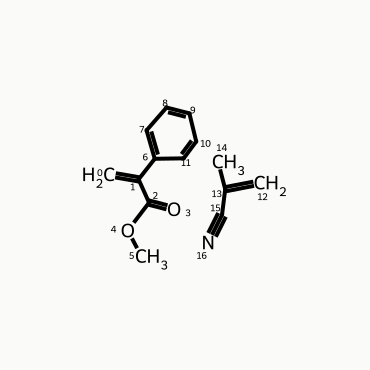 C=C(C(=O)OC)c1ccccc1.C=C(C)C#N